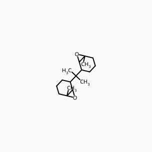 CC12CCCC(C(C)(C)C3CCCC4(C)OC34)C1O2